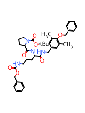 Cc1cc(CNC(=O)C(CCCNC(=O)OCc2ccccc2)NC(=O)C2CCCN2C(=O)OC(C)(C)C)cc(C)c1OCc1ccccc1